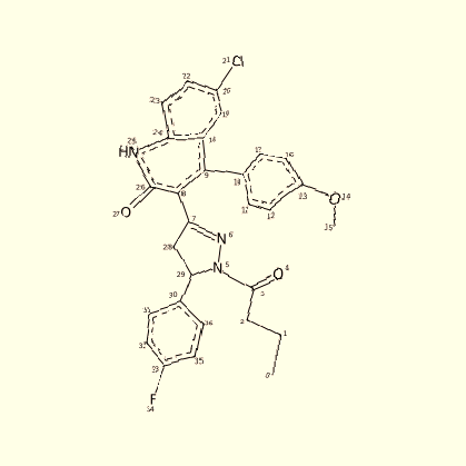 CCCC(=O)N1N=C(c2c(-c3ccc(OC)cc3)c3cc(Cl)ccc3[nH]c2=O)CC1c1ccc(F)cc1